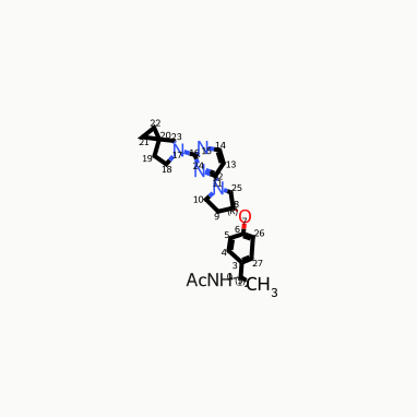 CC(=O)N[C@@H](C)c1ccc(O[C@@H]2CCN(c3ccnc(N4CCC5(CC5)C4)n3)C2)cc1